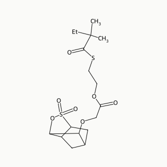 CCC(C)(C)C(=O)SCCOC(=O)COC1C2CC3C1OS(=O)(=O)C3C2